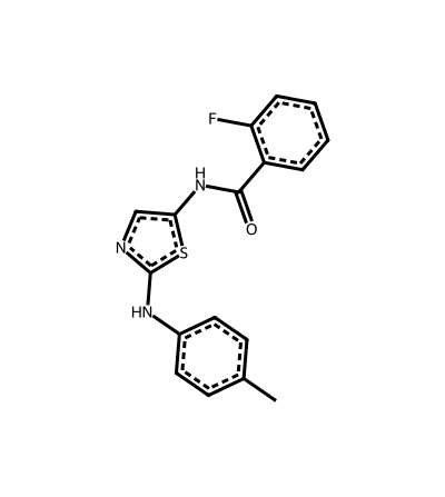 Cc1ccc(Nc2ncc(NC(=O)c3ccccc3F)s2)cc1